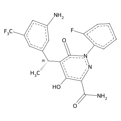 C[C@H](c1cc(N)cc(C(F)(F)F)c1)c1c(O)c(C(N)=O)nn(-c2ccccc2F)c1=O